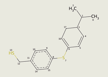 CC(C)C1C=CC(Sc2ccc(CS)cc2)=CC1